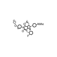 CNc1ccc(-c2sc3c(c2CN(C)C)c(=O)n(-c2ccc(OC4COC4)nc2)c(=O)n3Cc2c(F)cccc2F)cc1